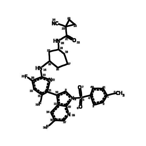 Cc1ccc(S(=O)(=O)n2cc(-c3nc(NC4CCCC(NC(=O)C5(C#N)CC5)C4)c(F)cc3F)c3cc(F)cnc32)cc1